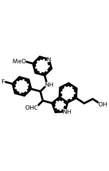 COc1cncc(NC(c2ccc(F)cc2)C(C=O)c2c[nH]c3c(CCO)cccc23)c1